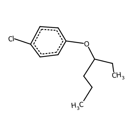 CCCC(CC)Oc1ccc(Cl)cc1